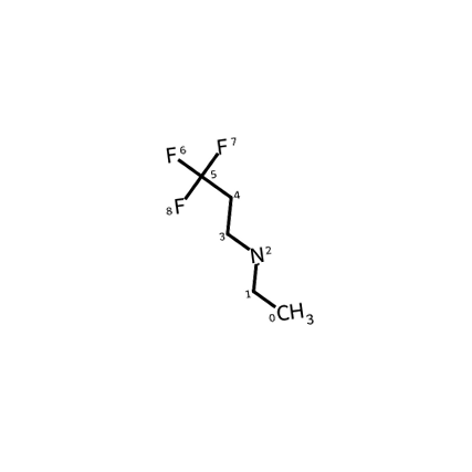 CC[N]CCC(F)(F)F